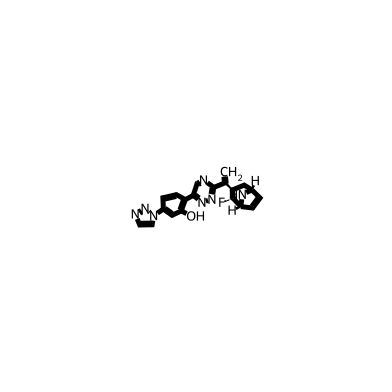 C=C(c1ncc(-c2ccc(-n3ccnn3)cc2O)nn1)[C@H]1C[C@@H]2C=C[C@@H](N2)[C@@H]1F